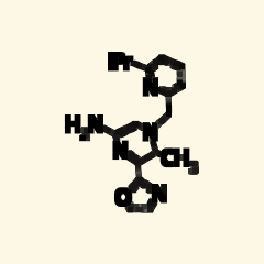 CC(C)c1cccc(CN2C=C(N)N=C(c3ncco3)C2C)n1